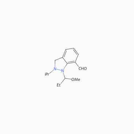 [CH2]CC(OC)N1c2c(C=O)cccc2CN1C(C)C